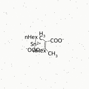 CC(C(=O)[O-])=C(C)C(=O)[O-].CCCCC[CH2][Sn+2][CH2]CCCCC